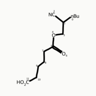 CCCCC(C#N)COC(=O)CCCCC(=O)O